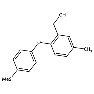 CSc1ccc(Oc2ccc(C)cc2CO)cc1